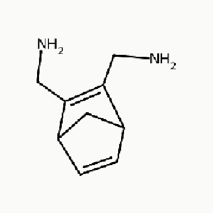 NCC1=C(CN)C2C=CC1C2